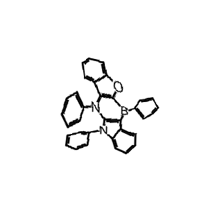 c1ccc(B2c3oc4ccccc4c3N(c3ccccc3)c3c2c2ccccc2n3-c2ccccc2)cc1